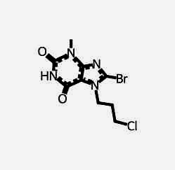 Cn1c(=O)[nH]c(=O)c2c1nc(Br)n2CCCCl